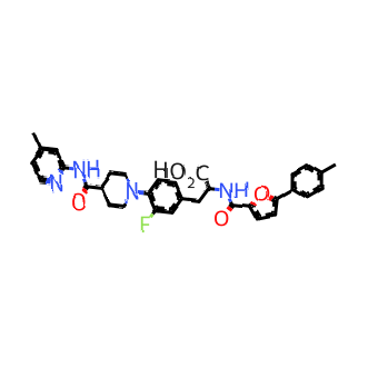 Cc1ccc(-c2ccc(C(=O)NC(Cc3ccc(N4CCC(C(=O)Nc5cc(C)ccn5)CC4)c(F)c3)C(=O)O)o2)cc1